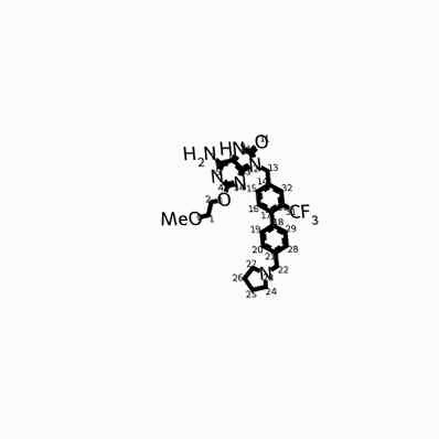 COCCOc1nc(N)c2[nH]c(=O)n(Cc3ccc(-c4ccc(CN5CCCC5)cc4)c(C(F)(F)F)c3)c2n1